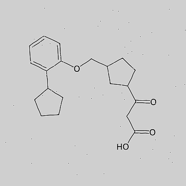 O=C(O)CC(=O)C1CCC(COc2ccccc2C2CCCC2)C1